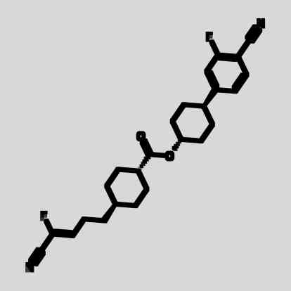 N#CC(F)=CCC[C@H]1CC[C@H](C(=O)O[C@H]2CC[C@H](c3ccc(C#N)c(F)c3)CC2)CC1